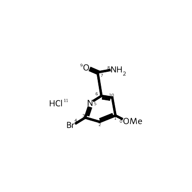 COc1cc(Br)nc(C(N)=O)c1.Cl